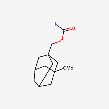 COC12CC3CC(CC(COC(=O)I)(C3)C1)C2